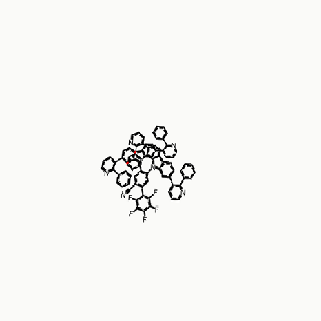 N#Cc1cc(-n2c3cc(-c4cccnc4-c4ccccc4)ccc3c3ccc(-c4cccnc4-c4ccccc4)cc32)c(-n2c3cc(-c4cccnc4-c4ccccc4)ccc3c3ccc(-c4cccnc4-c4ccccc4)cc32)cc1-c1c(F)c(F)c(F)c(F)c1F